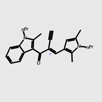 C#C/C(=C\c1cc(C)n(CCC)c1C)C(=O)c1c(C)n(CCC)c2ccccc12